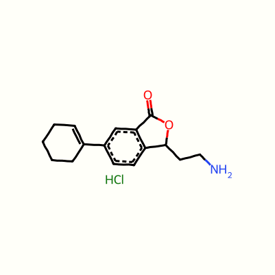 Cl.NCCC1OC(=O)c2cc(C3=CCCCC3)ccc21